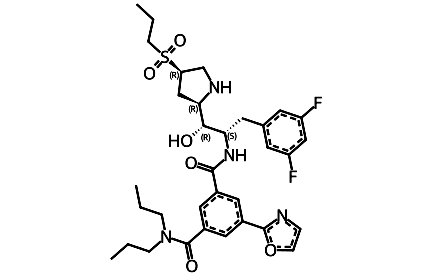 CCCN(CCC)C(=O)c1cc(C(=O)N[C@@H](Cc2cc(F)cc(F)c2)[C@H](O)[C@H]2C[C@@H](S(=O)(=O)CCC)CN2)cc(-c2ncco2)c1